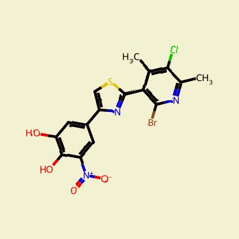 Cc1nc(Br)c(-c2nc(-c3cc(O)c(O)c([N+](=O)[O-])c3)cs2)c(C)c1Cl